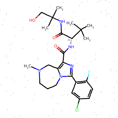 CN1CCCn2c(-c3cc(Cl)ccc3F)nc(C(=O)N[C@H](C(=O)NC(C)(C)CO)C(C)(C)C)c2C1